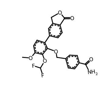 COc1ccc(-c2ccc3c(c2)COC3=O)c(OCc2ccc(C(N)=O)cc2)c1OC(F)F